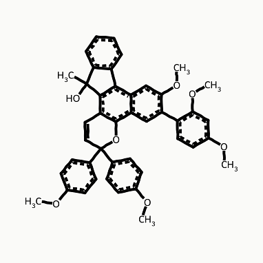 COc1ccc(C2(c3ccc(OC)cc3)C=Cc3c4c(c5cc(OC)c(-c6ccc(OC)cc6OC)cc5c3O2)-c2ccccc2C4(C)O)cc1